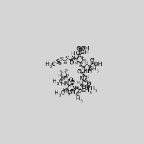 CC[C@H](C)[C@H](NC(=O)[C@H]1CCCCN1C)C(=O)N(C)[C@H](C[C@@H](OC(C)=O)c1nc(C(=O)N[C@@H](Cc2ccc(OP(=O)(O)O)c(NC(=O)CCCSSC)c2)CC(C)C(=O)O)cs1)C(C)C